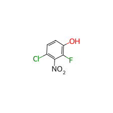 O=[N+]([O-])c1c(Cl)ccc(O)c1F